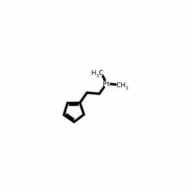 [CH3][Pt]([CH3])[CH2]CC1=CC=CC1